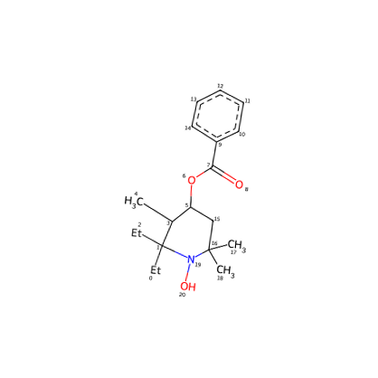 CCC1(CC)C(C)C(OC(=O)c2ccccc2)CC(C)(C)N1O